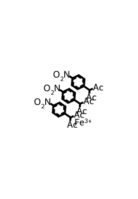 CC(=O)C(C(C)=O)c1ccc([N+](=O)[O-])cc1.CC(=O)C(C(C)=O)c1ccc([N+](=O)[O-])cc1.CC(=O)C(C(C)=O)c1ccc([N+](=O)[O-])cc1.[Fe+3]